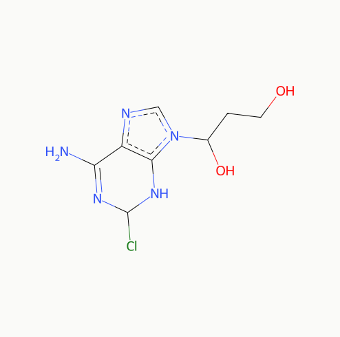 NC1=NC(Cl)Nc2c1ncn2C(O)CCO